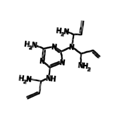 C=CC(N)Nc1nc(N)nc(N(C(N)C=C)C(N)C=C)n1